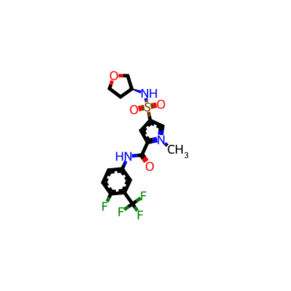 Cn1cc(S(=O)(=O)N[C@H]2CCOC2)cc1C(=O)Nc1ccc(F)c(C(F)(F)F)c1